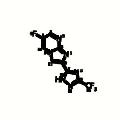 Fc1cnc2nc(-c3nc(C(F)(F)F)n[nH]3)cn2c1